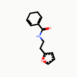 O=C(NCCc1ccco1)C1=CCCC=C1